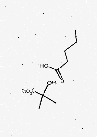 CCCCC(=O)O.CCOC(=O)C(C)(C)O